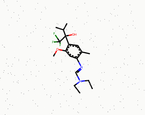 CCN(/C=N/c1cc(OC)c(C(O)(C(C)C)C(F)(F)F)cc1C)CC